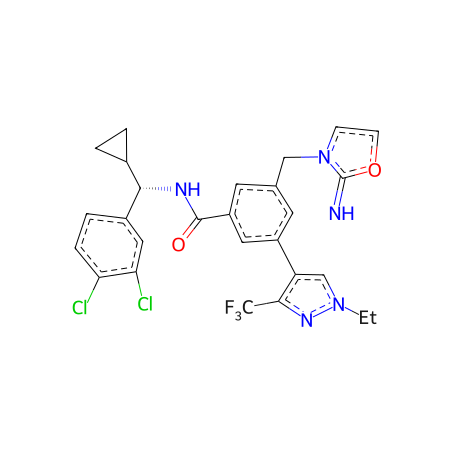 CCn1cc(-c2cc(Cn3ccoc3=N)cc(C(=O)N[C@H](c3ccc(Cl)c(Cl)c3)C3CC3)c2)c(C(F)(F)F)n1